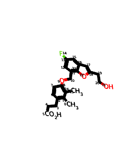 Cc1c(CCC(=O)O)ccc(OCc2cc(F)cc3cc(CCO)oc23)c1C